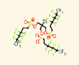 CCC(COS(=O)(=O)CCC(F)(F)C(F)(F)C(F)(F)C(F)(F)F)(COS(=O)(=O)CCC(F)(F)C(F)(F)C(F)(F)C(F)(F)F)COS(=O)(=O)CCC(F)(F)C(F)(F)C(F)(F)C(F)(F)F